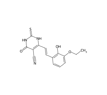 CCOc1cccc(/C=C/c2[nH]c(=S)[nH]c(=O)c2C#N)c1O